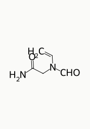 C=CN(C=O)CC(N)=O